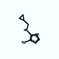 Cc1nc[nH]c1NCC1CC1